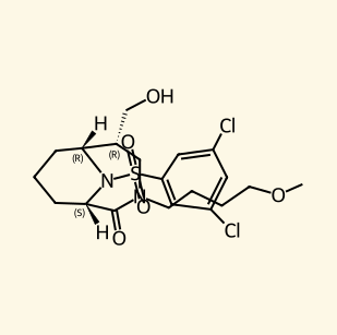 COCCCCN1C[C@@H](CO)[C@H]2CCC[C@@H](C1=O)N2S(=O)(=O)c1cc(Cl)cc(Cl)c1